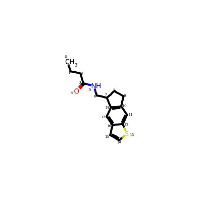 CCCC(=O)NCC1CCc2cc3sccc3cc21